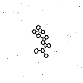 c1ccc(-c2cc(-c3ccccc3)cc(-n3c4ccccc4c4c5c6ccccc6n(-c6ccc7c(c6)[Si]6(c8ccccc8-c8ccccc86)c6ccccc6-7)c5ccc43)c2)cc1